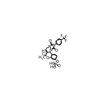 CC1(C)Oc2cc(OP(=O)(O)O)ccc2C2C1=CCn1c(=O)n(-c3ccc(C(F)(F)F)cc3)c(=O)n12